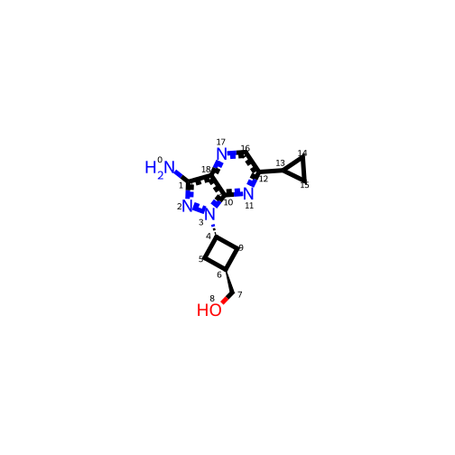 Nc1nn([C@H]2C[C@H](CO)C2)c2nc(C3CC3)cnc12